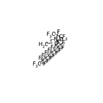 C=CCN(C(F)(C(F)(F)F)C(F)(F)F)S(=O)(=O)C(F)(F)C(F)(F)C(F)(F)C(F)(F)C(F)(F)C(F)(F)C(F)(F)C(F)(F)F